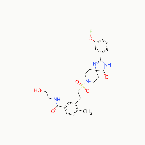 Cc1ccc(C(=O)NCCO)cc1CCS(=O)(=O)N1CCC2(CC1)N=C(c1cccc(OF)c1)NC2=O